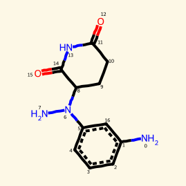 Nc1cccc(N(N)C2CCC(=O)NC2=O)c1